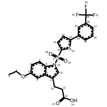 CCOc1ccc2c(c1)c(CCC(=O)O)cn2S(=O)(=O)c1ccc(-c2cccc(C(F)(F)F)c2)s1